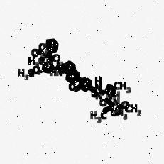 CC[C@@H](C)[C@H](NC(=O)OC)C(=O)N1C[C@@H](C)C[C@H]1c1ncc(-c2ccc3c(c2)COc2cc4c(ccc5nc([C@@H]6C[C@H](COC)CN6C(=O)[C@@H](c6ccccc6)N(C)C(=O)O)[nH]c54)cc2-3)[nH]1